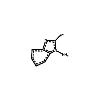 CC(C)c1nc2ccccc2n1N